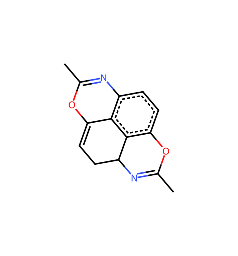 CC1=Nc2ccc3c4c2C(=CCC4N=C(C)O3)O1